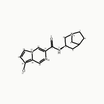 O=C(N[C@@H]1CC2CCN(C2)C1)c1cn2ccc(Cl)c2cn1